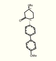 CCCC[C@H]1CC[C@H](c2ccc(-c3ccc(OC)cc3)cc2)C(=O)C1